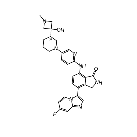 CN1CC(O)([C@H]2CCCN(c3ccc(Nc4ccc(-c5cnc6cc(F)ccn56)c5c4C(=O)NC5)nc3)C2)C1